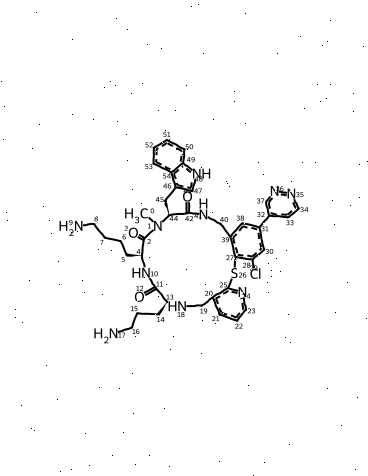 CN1C(=O)[C@H](CCCCN)NC(=O)[C@H](CCCN)NCc2cccnc2Sc2c(Cl)cc(-c3ccnnc3)cc2CNC(=O)[C@@H]1Cc1c[nH]c2ccccc12